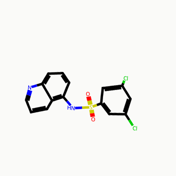 O=S(=O)(Nc1cccc2ncccc12)c1cc(Cl)cc(Cl)c1